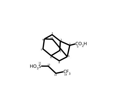 O=C(O)C1C2CC3CC(C2)CC1C3.O=S(=O)(O)CCC(F)(F)F